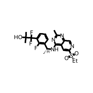 CCS(=O)(=O)c1cc2c(N[C@H](C)c3cccc(C(F)(F)C(C)(C)O)c3F)nc(C)nc2cn1